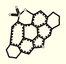 O=S1(=O)Oc2cc3c4c(cc5oc6cc7c8c(cc1c1c2c4c5c6c81)CCC7)CCC3